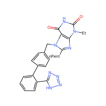 CCCCCc1nc2c(c(=O)[nH]c(=O)n2CC)n1Cc1ccc(-c2ccccc2-c2nnn[nH]2)cc1